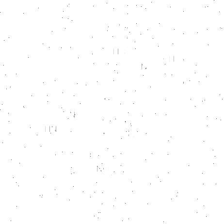 CN(C)/C=C/C(=O)c1n[nH]cc1[N+](=O)[O-]